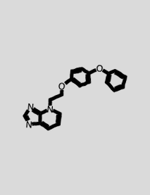 c1ccc(Oc2ccc(OCCn3cccc4ncnc3-4)cc2)cc1